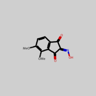 COc1ccc2c(=O)c(=NO)c(=O)c2c1OC